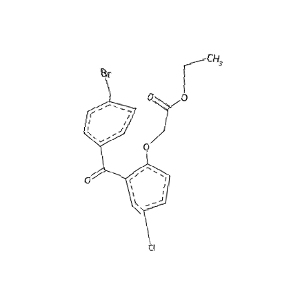 CCOC(=O)COc1ccc(Cl)cc1C(=O)c1ccc(Br)cc1